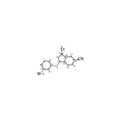 CCn1cc(Cc2cccc(Br)c2)c2ccc(C#N)cc21